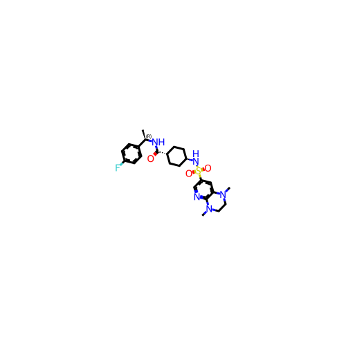 C[C@@H](NC(=O)[C@H]1CC[C@H](NS(=O)(=O)c2cnc3c(c2)N(C)CCN3C)CC1)c1ccc(F)cc1